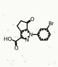 O=C(O)c1nn(-c2cccc(Br)c2)c2c1CCC2=O